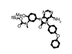 COc1ccc(-n2c(=O)n(-c3ccc(Oc4ccccc4)cc3)c3c(N)ncnc32)cc1N(C)C(=O)OC(C)(C)C